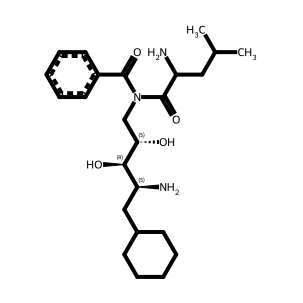 CC(C)CC(N)C(=O)N(C[C@H](O)[C@H](O)[C@@H](N)CC1CCCCC1)C(=O)c1ccccc1